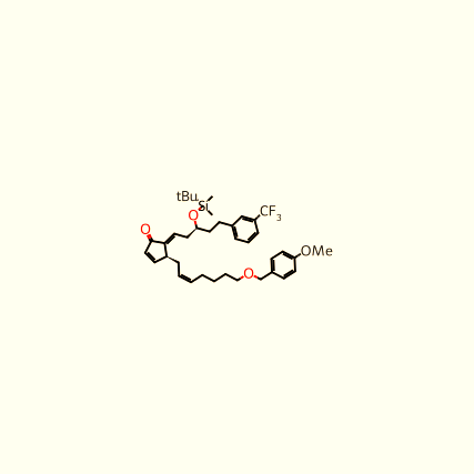 COc1ccc(COCCCC/C=C\C[C@H]2C=CC(=O)/C2=C/C[C@H](CCc2cccc(C(F)(F)F)c2)O[Si](C)(C)C(C)(C)C)cc1